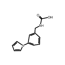 O=C(O)NCc1cccc(-n2cccc2)c1